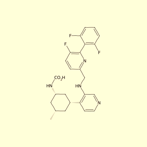 C[C@@H]1C[C@H](NC(=O)O)C[C@H](c2ccncc2NCc2ccc(F)c(-c3c(F)cccc3F)n2)C1